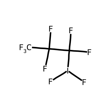 FI(F)C(F)(F)C(F)(F)C(F)(F)F